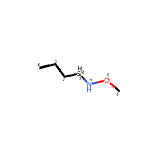 CCC[SiH2]NOC